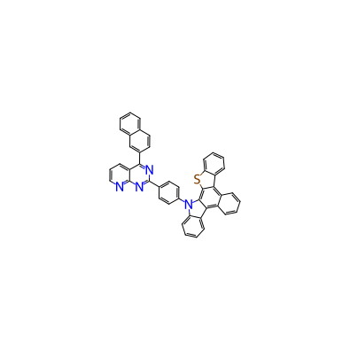 c1ccc2cc(-c3nc(-c4ccc(-n5c6ccccc6c6c7ccccc7c7c8ccccc8sc7c65)cc4)nc4ncccc34)ccc2c1